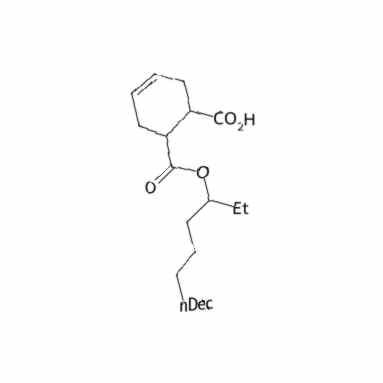 CCCCCCCCCCCCCC(CC)OC(=O)C1CC=CCC1C(=O)O